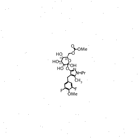 COC(=O)OC[C@H]1O[C@@](O)(Oc2nn(C(C)C)c(C)c2Cc2cc(F)c(OC)c(F)c2)[C@H](O)[C@@H](O)[C@@H]1O